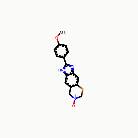 COc1ccc(-c2nc3cc4c(cc3[nH]2)C[NH+]([O-])CS4)cc1